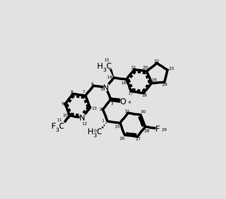 C[C@H](CC(=O)N(Cc1ccc(C(F)(F)F)nc1)[C@@H](C)c1ccc2c(c1)CCC2)C1C=CC(F)=CC1